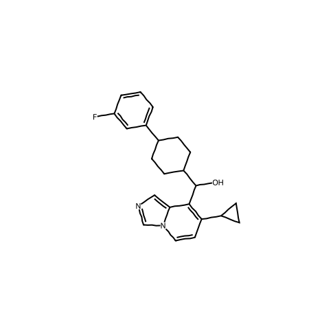 OC(c1c(C2CC2)ccn2cncc12)C1CCC(c2cccc(F)c2)CC1